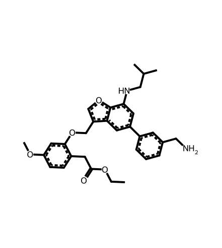 CCOC(=O)Cc1ccc(OC)cc1OCc1coc2c(NCC(C)C)cc(-c3cccc(CN)c3)cc12